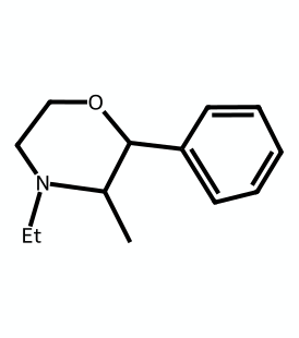 CCN1CCOC(c2ccccc2)C1C